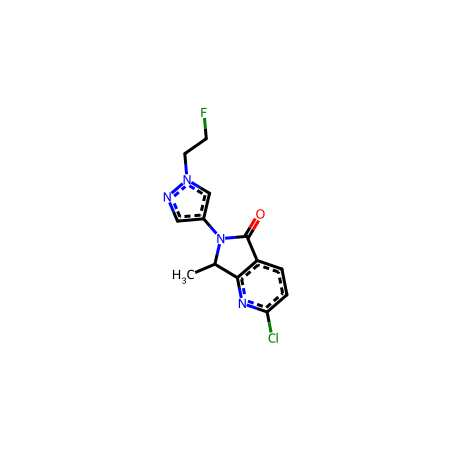 CC1c2nc(Cl)ccc2C(=O)N1c1cnn(CCF)c1